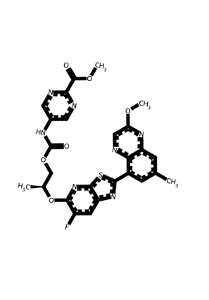 COC(=O)c1ncc(NC(=O)OC[C@H](C)Oc2nc3sc(-c4cc(C)cc5nc(OC)cnc45)nc3cc2F)cn1